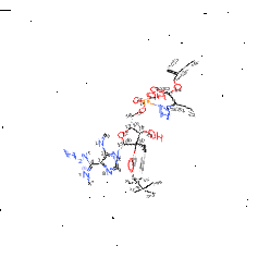 C=Nc1c(/C(N)=N\C)ncn1[C@@H]1O[C@H](COP(=O)(O)NC(C)C(=O)OC(C)C)C(O)C1(C)O[Si](C)(C)C(C)(C)C